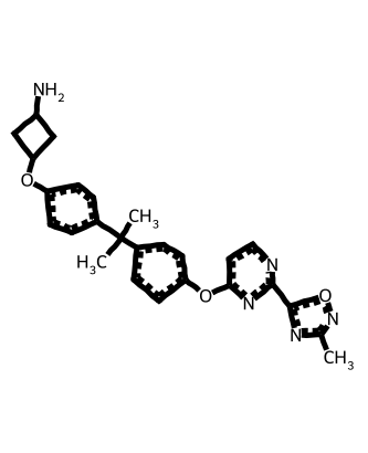 Cc1noc(-c2nccc(Oc3ccc(C(C)(C)c4ccc(OC5CC(N)C5)cc4)cc3)n2)n1